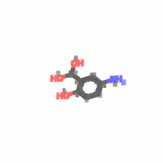 Nc1ccc(O)c(B(O)O)c1